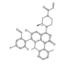 C=CC(=O)N1CCN(c2nc(=O)n3c4c2cc(Cl)c(-c2c(F)cc(F)cc2C=O)[n+]4C(C)c2nccc(C)c2-3)[C@@H](C)C1